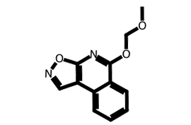 COCOc1nc2oncc2c2ccccc12